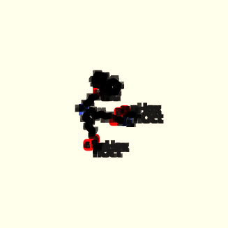 CCCCCCCCC(CCCCCC)C(=O)OCCCCCC(CCCCCOC(=O)CN(C)C(=O)C(CCCCCC)CCCCCCCC)N(C)CCCCO[Si](c1ccccc1)(c1ccccc1)C(C)(C)C